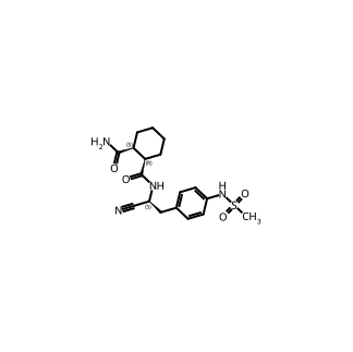 CS(=O)(=O)Nc1ccc(C[C@@H](C#N)NC(=O)[C@@H]2CCCC[C@@H]2C(N)=O)cc1